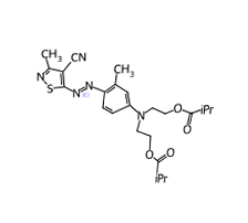 Cc1cc(N(CCOC(=O)C(C)C)CCOC(=O)C(C)C)ccc1/N=N/c1snc(C)c1C#N